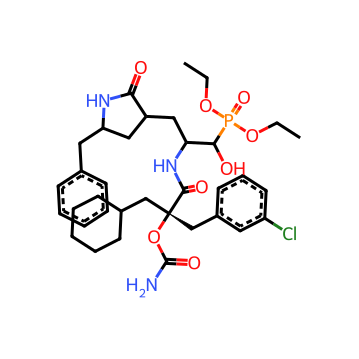 CCOP(=O)(OCC)C(O)C(CC1CC(Cc2ccccc2)NC1=O)NC(=O)[C@@](Cc1cccc(Cl)c1)(CC1CCCCC1)OC(N)=O